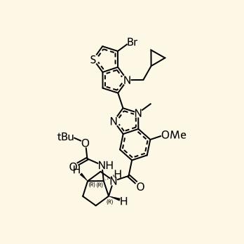 COc1cc(C(=O)N2C[C@H]3CC[C@@H]2[C@@H]3NC(=O)OC(C)(C)C)cc2nc(-c3cc4scc(Br)c4n3CC3CC3)n(C)c12